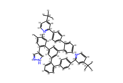 Cc1cc(-c2cn[nH]c2)c(-c2cc(-c3ccccc3-c3ccc(-c4cc(C(C)(C)C)ccn4)cc3)cc(-c3ccccc3-c3ccc(-c4cc(C(C)(C)C)ccn4)cc3)c2)cc1C